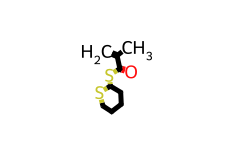 C=C(C)C(=O)SC1CCCCS1